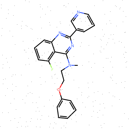 CN(CCOc1ccccc1)c1nc(-c2cccnc2)nc2cccc(F)c12